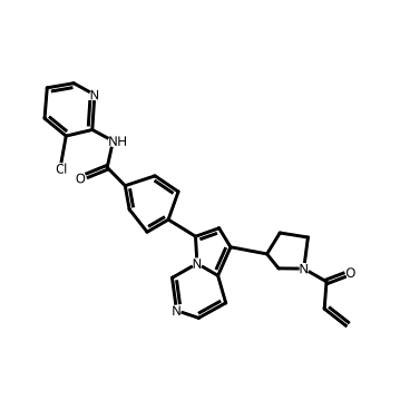 C=CC(=O)N1CCC(c2cc(-c3ccc(C(=O)Nc4ncccc4Cl)cc3)n3cnccc23)C1